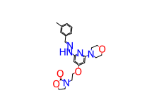 Cc1cccc(/C=N/Nc2cc(OCCN3CCOC3=O)cc(N3CCOCC3)n2)c1